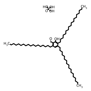 CCCCCCCCCCCCCCCCCCc1cc(CCCCCCCCCCCCCCCCCC)c(I=O)c(O)c1CCCCCCCCCCCCCCCCCC.O=P(O)(O)O